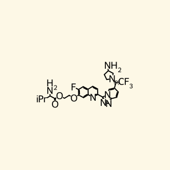 CC(C)C(N)C(=O)OCCOc1cc2nc(-c3nnc4ccc([C@@H](N5CCC(N)C5)C(F)(F)F)cn34)ccc2cc1F